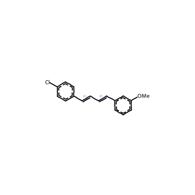 COc1cccc(/C=C/C=C/c2ccc(Cl)cc2)c1